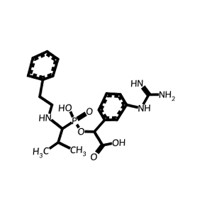 CC(C)C(NCCc1ccccc1)P(=O)(O)OC(C(=O)O)c1cccc(NC(=N)N)c1